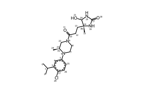 CC(C)c1cc(N2CCN(C(=O)CC[C@@]3(C)NC(=O)NC3O)C[C@@H]2C)ccc1Cl